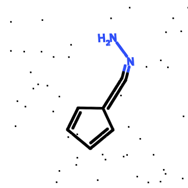 NN=C=C1C=CC=C1